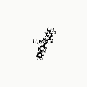 CN1CCN(C(=O)c2cc(-c3cnc(-c4ccccc4)nc3)n(C)n2)CC1